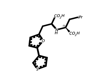 CC(C)C[C@H](NC(Cc1ccc(-c2ccsc2)o1)C(=O)O)C(=O)O